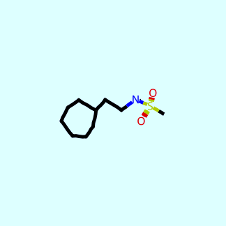 CS(=O)(=O)[N]CCC1CCCCCC1